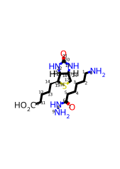 NCCCCCC(=O)NN.O=C(O)CCCC[C@@H]1SC[C@@H]2NC(=O)N[C@@H]21